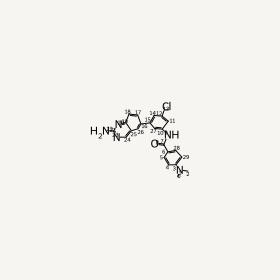 CN(C)c1ccc(C(=O)Nc2cc(Cl)cc(-c3ccc4nc(N)ncc4c3)c2)cc1